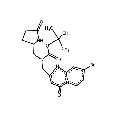 CC(C)(C)OC(=O)N(Cc1cc(=O)n2ccc(Br)cc2n1)C[C@@H]1CCC(=O)N1